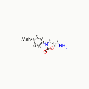 CNc1ccc(N2C[C@H](CN)OC2=O)cc1